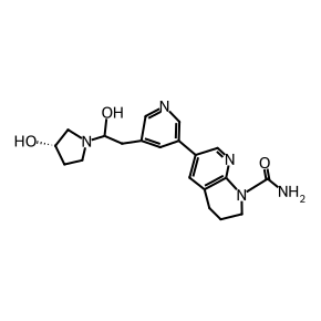 NC(=O)N1CCCc2cc(-c3cncc(CC(O)N4CC[C@H](O)C4)c3)cnc21